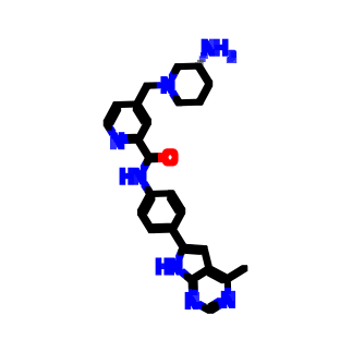 Cc1ncnc2[nH]c(-c3ccc(NC(=O)c4cc(CN5CCC[C@@H](N)C5)ccn4)cc3)cc12